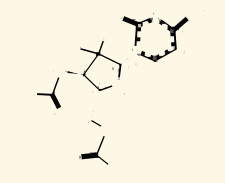 CC1(O)[C@H](OC(=O)C(F)(F)F)[C@@H](COC(=O)C(F)(F)F)O[C@H]1n1ccc(=O)[nH]c1=O